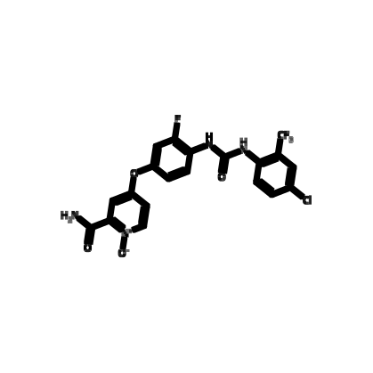 NC(=O)c1cc(Oc2ccc(NC(=O)Nc3ccc(Cl)cc3C(F)(F)F)c(F)c2)cc[n+]1[O-]